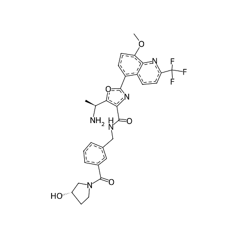 COc1ccc(-c2nc(C(=O)NCc3cccc(C(=O)N4CC[C@H](O)C4)c3)c([C@H](C)N)o2)c2ccc(C(F)(F)F)nc12